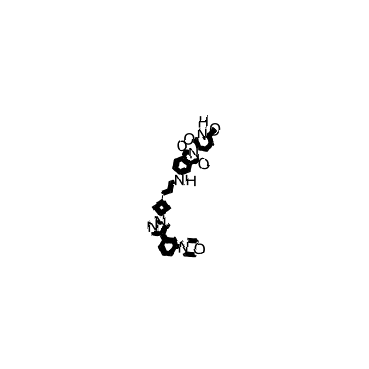 O=C1CCC(N2C(=O)c3ccc(NCCC[C@H]4C[C@H](n5cc(-c6cccc(N7CCOCC7)c6)cn5)C4)cc3C2=O)C(=O)N1